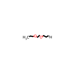 [2H]CCCOCCOCCC